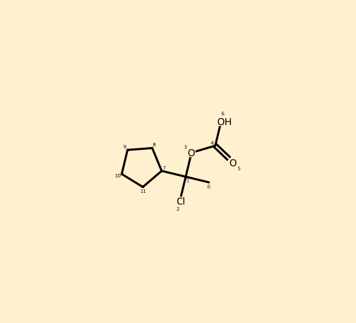 CC(Cl)(OC(=O)O)C1CCCC1